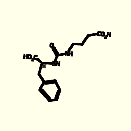 O=C(O)CCCNC(=O)N[C@@H](Cc1ccccc1)C(=O)O